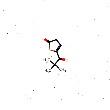 CC(C)(C)C(=O)C1=CCC(=O)S1